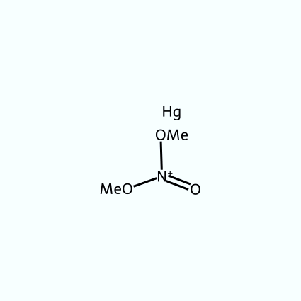 CO[N+](=O)OC.[Hg]